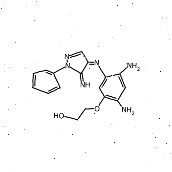 N=C1C(=Nc2cc(OCCO)c(N)cc2N)C=NN1c1ccccc1